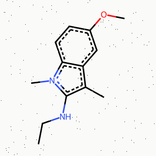 CCNc1c(C)c2cc(OC)ccc2n1C